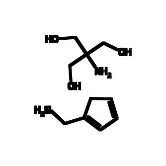 NC(CO)(CO)CO.[SiH3]CC1=CC=CC1